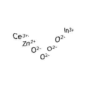 [Ce+3].[In+3].[O-2].[O-2].[O-2].[O-2].[Zn+2]